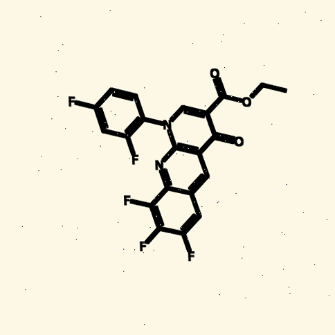 CCOC(=O)c1cn(-c2ccc(F)cc2F)c2nc3c(F)c(F)c(F)cc3cc2c1=O